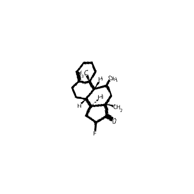 C[C@]12CCCC=C1CC[C@@H]1[C@H]2C(O)C[C@]2(C)C(=O)C(F)C[C@@H]12